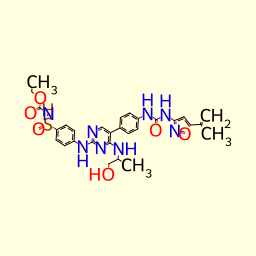 C=C(C)c1cc(NC(=O)Nc2ccc(-c3cnc(Nc4ccc([SH](=O)=NC(=O)OCC)cc4)nc3NC(C)CO)cc2)no1